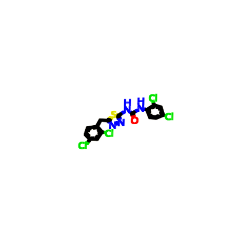 O=C(Nc1nnc(Cc2ccc(Cl)cc2Cl)s1)Nc1ccc(Cl)cc1Cl